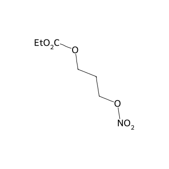 C[CH]OC(=O)OCCCO[N+](=O)[O-]